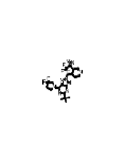 CC(C)(C)c1nc(N2CCC(F)(F)C2)c2nn(Cc3ccncc3C3(C(F)(F)F)N=N3)nc2n1